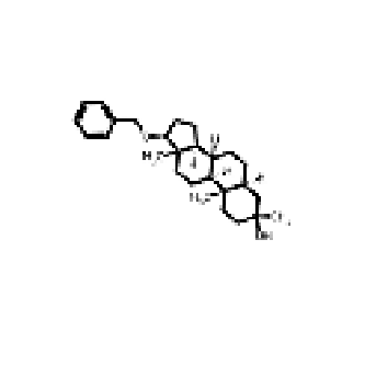 C[C@@]1(O)CC[C@@]2(C)[C@@H](CC[C@@H]3[C@@H]2CC[C@]2(C)[C@@H](OCc4ccccc4)CC[C@@H]32)C1